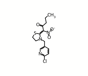 CCCC(=O)/C(=C1\SCCN1Cc1ccc(Cl)nc1)[N+](=O)[O-]